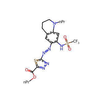 CCCOC(=O)c1nnc(N=Nc2cc3c(cc2NS(=O)(=O)C(F)(F)F)N(CCC)CCC3)s1